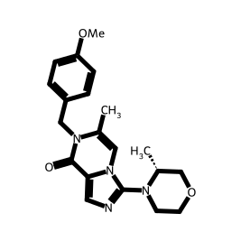 COc1ccc(Cn2c(C)cn3c(N4CCOC[C@H]4C)ncc3c2=O)cc1